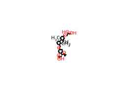 Cc1cc(OC[C@@H](O)CO)cc(C)c1-c1cccc(COc2ccc3c(c2)OC2(CC2)[C@H]3CC(=O)O)c1C